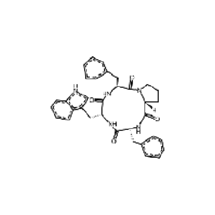 O=C1N[C@H](Cc2ccccc2)C(=O)N[C@H](Cc2c[nH]c3ccccc23)C(=O)N[C@@H](Cc2ccccc2)C(=O)N2CCC[C@H]12